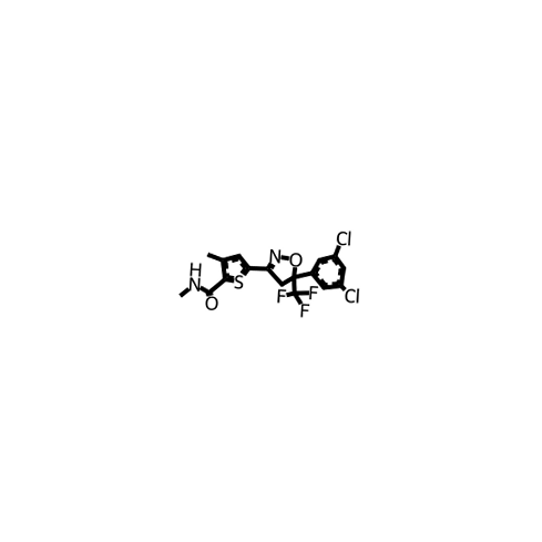 CNC(=O)c1sc(C2=NOC(c3cc(Cl)cc(Cl)c3)(C(F)(F)F)C2)cc1C